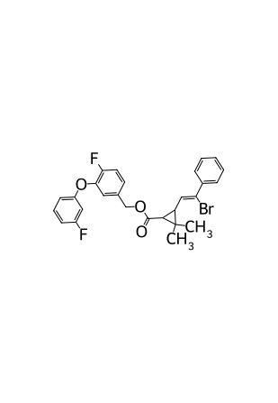 CC1(C)C(/C=C(\Br)c2ccccc2)C1C(=O)OCc1ccc(F)c(Oc2cccc(F)c2)c1